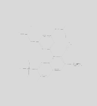 CC(C)(C)c1cc2c(-c3cc(CC(F)F)cc(CC(F)F)c3)c(C#N)c(C#N)cc2cc1F